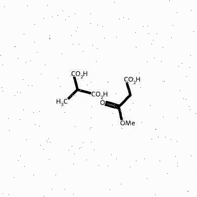 CC(C(=O)O)C(=O)O.COC(=O)CC(=O)O